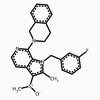 Cc1c([S+](C)[O-])c2ccnc(N3CCc4ccccc4C3)c2n1Cc1cccc(F)c1